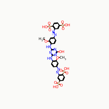 COc1cc(/N=N/c2cc(S(=O)(=O)O)ccc2S(=O)(=O)O)ccc1Nc1nc(O)nc(Nc2ccc(/N=N/c3cc(S(=O)(=O)O)ccc3S(=O)(=O)O)cc2OC)n1